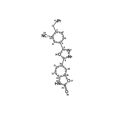 CC(C)Cc1ccc(-c2nnc(-c3ccc4[nH]c(=O)oc4c3)o2)cc1C#N